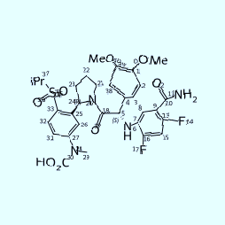 COc1ccc([C@H](Nc2cc(C(N)=O)c(F)cc2F)C(=O)N2CCC[C@@H]2c2cc(N(C)C(=O)O)ccc2S(=O)(=O)C(C)C)cc1OC